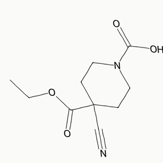 CCOC(=O)C1(C#N)CCN(C(=O)O)CC1